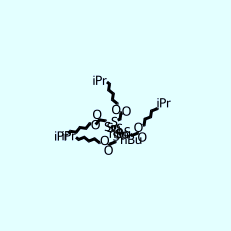 CCC[CH2][Sn]([S]CC(=O)OCCCCCC(C)C)([S]CC(=O)OCCCCCC(C)C)[S][Sn]([CH2]CCC)([S]CC(=O)OCCCCCC(C)C)[S]CC(=O)OCCCCCC(C)C